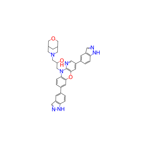 OC(CN1CC2COCC(C2)C1)CN1c2ccc(-c3ccc4[nH]ncc4c3)cc2Oc2cc(-c3ccc4[nH]ncc4c3)cnc21